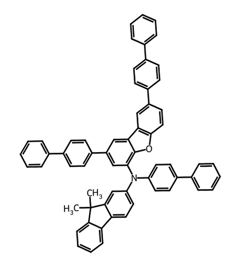 CC1(C)c2ccccc2-c2ccc(N(c3ccc(-c4ccccc4)cc3)c3cc(-c4ccc(-c5ccccc5)cc4)cc4c3oc3ccc(-c5ccc(-c6ccccc6)cc5)cc34)cc21